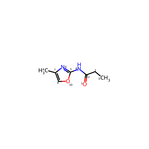 CCC(=O)Nc1nc(C)co1